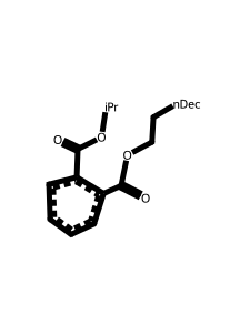 CCCCCCCCCCCCOC(=O)c1ccccc1C(=O)OC(C)C